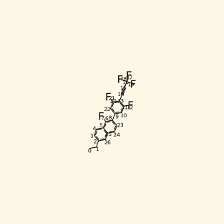 CCc1ccc2c(F)c(-c3cc(F)c(C#CC(F)(F)F)c(F)c3)ccc2c1